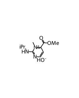 COC(=O)c1ccnc(NC(C)C)[n+]1C.[OH-]